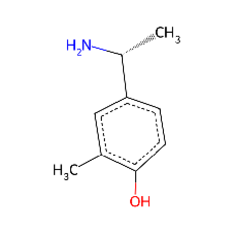 Cc1cc([C@@H](C)N)ccc1O